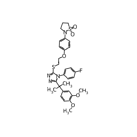 COc1ccc(C(C)(C)c2nnc(SCCOc3ccc(N4CCCS4(=O)=O)cc3)n2-c2ccc(F)cc2)cc1OC